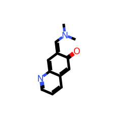 CN(C)C=C1C=c2ncccc2=CC1=O